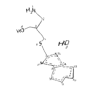 Cl.NCC(O)CSc1nc2ccccc2s1